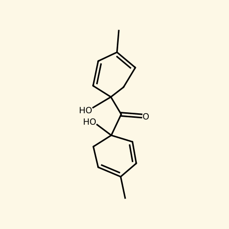 CC1=CCC(O)(C(=O)C2(O)C=CC(C)=CC2)C=C1